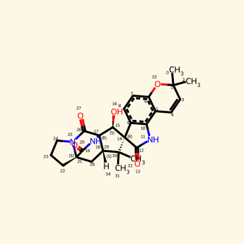 CC1(C)C=Cc2c(ccc3c2NC(=O)[C@@]32[C@H](O)[C@@]34NC(=O)[C@]5(CCCN5C3=O)C[C@H]4C2(C)C)O1